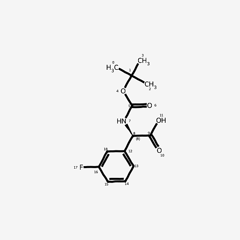 CC(C)(C)OC(=O)N[C@@H](C(=O)O)c1cccc(F)c1